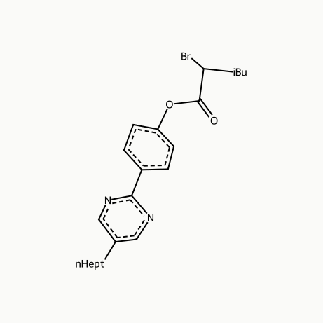 CCCCCCCc1cnc(-c2ccc(OC(=O)C(Br)C(C)CC)cc2)nc1